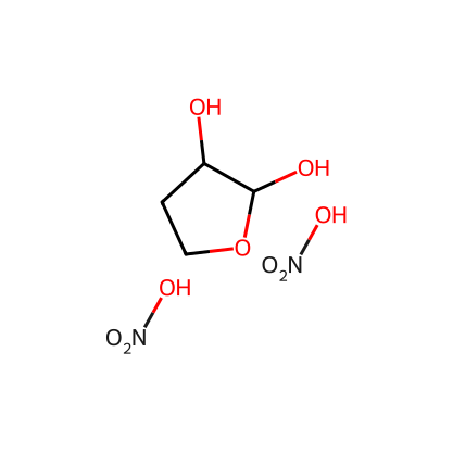 O=[N+]([O-])O.O=[N+]([O-])O.OC1CCOC1O